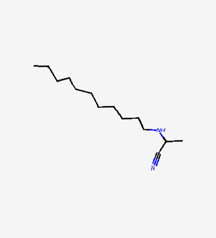 CCCCCCCCCCCNC(C)C#N